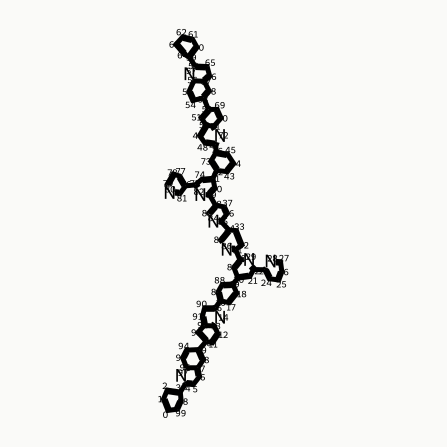 c1ccc(-c2ccc3cc(-c4ccc5nc(-c6ccc(-c7cc(-c8ccccn8)nc(-c8ccc(-c9ccc(-c%10cc(-c%11cccc(-c%12ccc%13cc(-c%14ccc%15nc(-c%16ccccc%16)ccc%15c%14)ccc%13n%12)c%11)cc(-c%11cccnc%11)n%10)cn9)cn8)c7)cc6)ccc5c4)ccc3n2)cc1